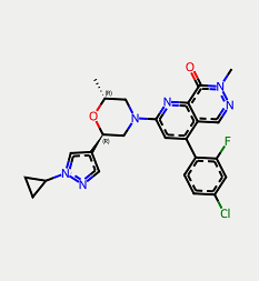 C[C@@H]1CN(c2cc(-c3ccc(Cl)cc3F)c3cnn(C)c(=O)c3n2)C[C@@H](c2cnn(C3CC3)c2)O1